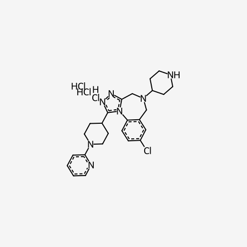 Cl.Cl.Cl.Clc1ccc2c(c1)CN(C1CCNCC1)Cc1nnc(C3CCN(c4ccccn4)CC3)n1-2